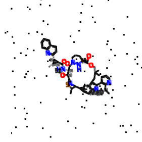 CCO[C@@H]1C2=NC(c3ccc4c(c3)c(c(-c3cccnc3[C@H](C)OC)n4CC)CC(C)(C)COC(=O)[C@@H]3CCCN(N3)C(=O)[C@H]1NC(=O)[C@H]1[C@H](C)[C@@H]1c1ccc3ccccc3n1)C(C)S2